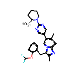 Cc1cc2nc(C)c(Cc3ccccc3OC(F)F)n2cc1-c1cnc(N2CCCC[C@@H]2C(=O)O)nc1